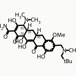 COc1c(CN(C)CC(C)(C)C)cc(O)c2c1C[C@H]1C[C@H]3[C@H](N(C)C)C(O)=C(C(N)=O)C(=O)[C@@]3(O)C(O)=C1C2=O